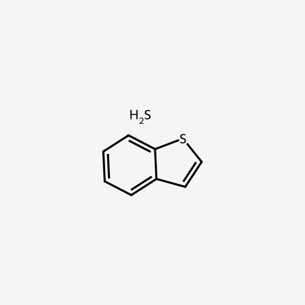 S.c1ccc2sccc2c1